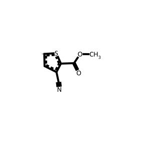 COC(=O)c1s[c]cc1C#N